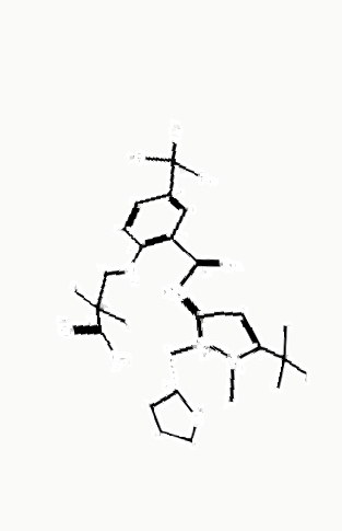 Cn1c(C(C)(C)C)cc(=NC(=O)c2cc(C(F)(F)F)ccc2OCC(C)(C)C(=O)O)n1C[C@H]1CCCO1